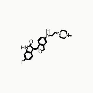 CN1CCN(CCNc2ccc3c(c2)COC3=C2C(=O)Nc3cc(F)ccc32)CC1